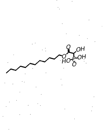 CCCCCCCCCCCCOC(=O)C(O)P(=O)(O)O